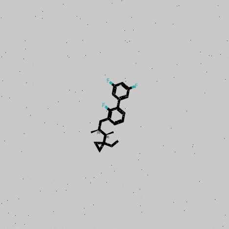 CCC1([C@H](C)[C@@H](C)Cc2cccc(-c3cc(F)cc(F)c3)c2F)CC1